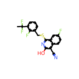 CC(F)(F)c1cccc(CSc2nc(O)c(C#N)c3ccc(F)cc23)c1F